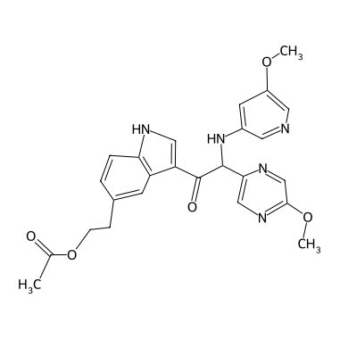 COc1cncc(NC(C(=O)c2c[nH]c3ccc(CCOC(C)=O)cc23)c2cnc(OC)cn2)c1